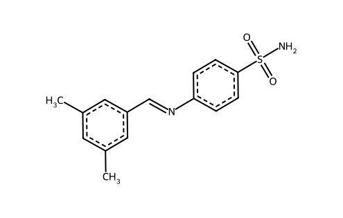 Cc1cc(C)cc(C=Nc2ccc(S(N)(=O)=O)cc2)c1